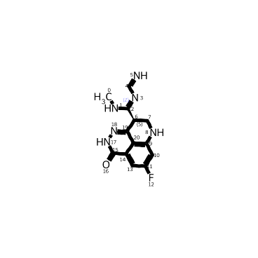 CN/C(=N\C=N)[C@H]1CNc2cc(F)cc3c(=O)[nH]nc1c23